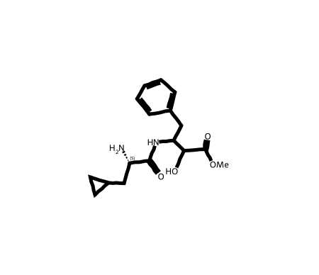 COC(=O)C(O)C(Cc1ccccc1)NC(=O)[C@@H](N)CC1CC1